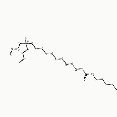 CCCCCCOC(=O)CCCCCCCCCCC[N+](C)(CCCC)CCCC